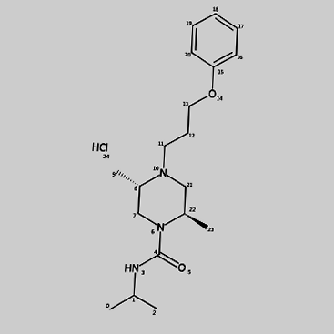 CC(C)NC(=O)N1C[C@H](C)N(CCCOc2ccccc2)C[C@H]1C.Cl